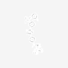 CCC(CC)(N[C@H](C)c1ccc(-c2noc(-c3ccc(-c4ccccc4C)c(C(F)(F)F)c3)n2)cc1)C(=O)O